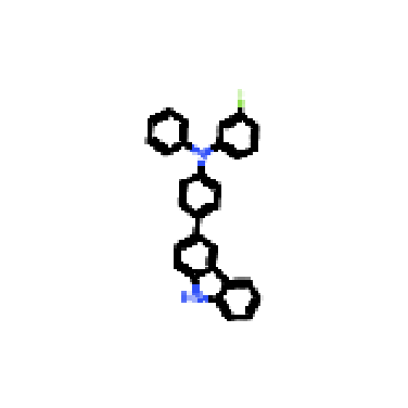 Fc1cccc(N(c2ccccc2)c2ccc(-c3ccc4[nH]c5ccccc5c4c3)cc2)c1